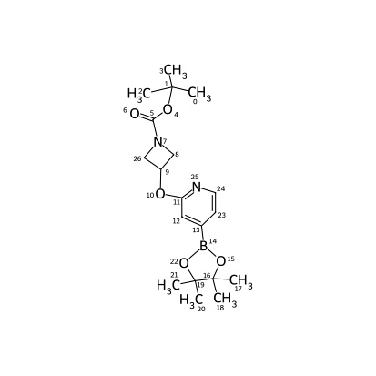 CC(C)(C)OC(=O)N1CC(Oc2cc(B3OC(C)(C)C(C)(C)O3)ccn2)C1